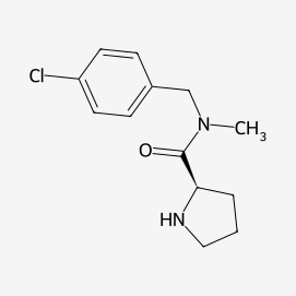 CN(Cc1ccc(Cl)cc1)C(=O)[C@H]1CCCN1